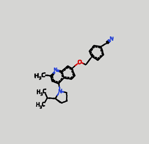 Cc1cc(N2CCCC2C(C)C)c2ccc(OCc3ccc(C#N)cc3)cc2n1